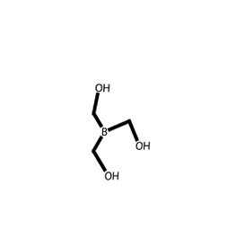 OCB(CO)CO